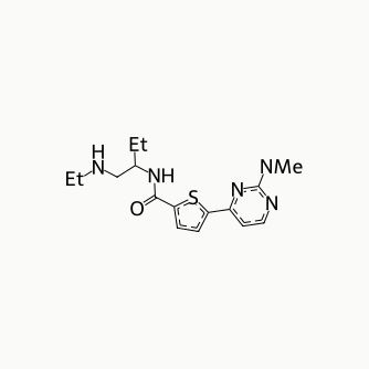 CCNCC(CC)NC(=O)c1ccc(-c2ccnc(NC)n2)s1